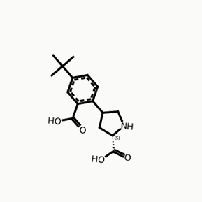 CC(C)(C)c1ccc(C2CN[C@H](C(=O)O)C2)c(C(=O)O)c1